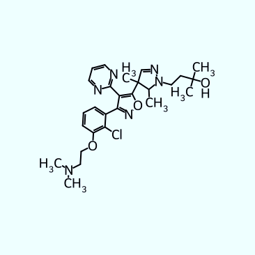 CC1N(CCC(C)(C)O)N=CC1(C)c1onc(-c2cccc(OCCN(C)C)c2Cl)c1-c1ncccn1